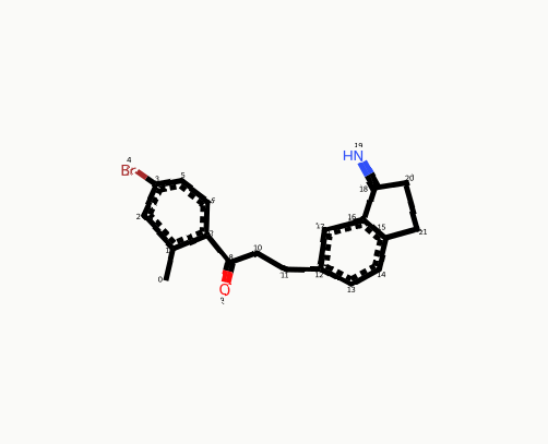 Cc1cc(Br)ccc1C(=O)CCc1ccc2c(c1)C(=N)CC2